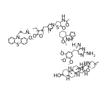 CC(=O)NC1CCSC1=O.CCNC1(c2cccs2)CCCCC1=O.CC[C@@H]1C(=O)OC[C@@H]1Cc1cncn1C.COc1cc(Cc2cnc(N)nc2N)cc(OC)c1OC.COc1ccc2c(c1)N(C[C@H](C)CN(C)C)c1ccccc1S2.C[C@H]1CC[C@]2(NC1)O[C@H]1C[C@H]3[C@@H]4CC[C@H]5C[C@@H](O)CC[C@]5(C)[C@H]4CC[C@]3(C)[C@H]1[C@@H]2C